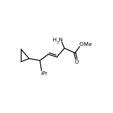 COC(=O)C(N)/C=C/C(C(C)C)C1CC1